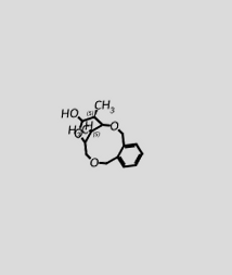 C[C@@H]1C(O)OC2COCc3ccccc3COC1[C@@H]2C